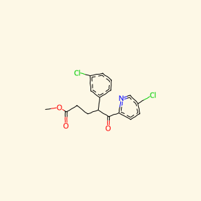 COC(=O)CCC(C(=O)c1ccc(Cl)cn1)c1cccc(Cl)c1